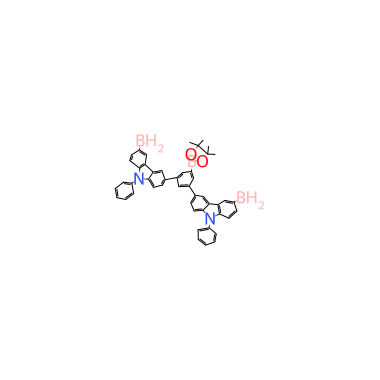 Bc1ccc2c(c1)c1cc(-c3cc(B4OC(C)(C)C(C)(C)O4)cc(-c4ccc5c(c4)c4cc(B)ccc4n5-c4ccccc4)c3)ccc1n2-c1ccccc1